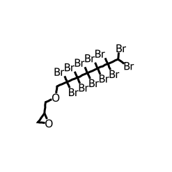 BrC(Br)C(Br)(Br)C(Br)(Br)C(Br)(Br)C(Br)(Br)C(Br)(Br)COCC1CO1